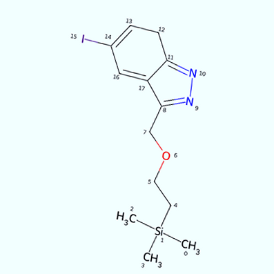 C[Si](C)(C)CCOCC1=NN=C2CC=C(I)C=C21